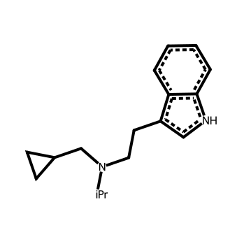 CC(C)N(CCc1c[nH]c2ccccc12)CC1CC1